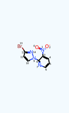 O=[N+]([O-])c1cccnc1-n1[c]cc(Br)n1